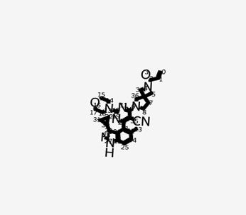 C=CC(=O)N1CC2(CCN(c3nc(N4CCOCC4)nc(-c4c(C)ccc5[nH]nc(C6CC6)c45)c3C#N)C2)C1